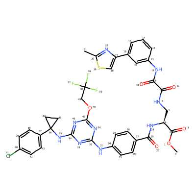 COC(=O)[C@H](CNC(=O)C(=O)Nc1cccc(-c2csc(C)n2)c1)NC(=O)c1ccc(Nc2nc(NC3(c4ccc(Cl)cc4)CC3)nc(OCC(F)(F)F)n2)cc1